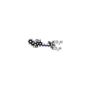 O=C(O)CN1C(=O)\C(=C/C=C/C=C/c2ccc3c(c2)C(=O)C(c2nc4ccccc4cc2O)=C3O)N(CC(=O)O)C1=S